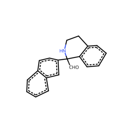 O=CC1(c2ccc3ccccc3c2)NCCc2ccccc21